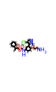 Cc1c(OC(=O)Nc2ccc(OCCN)c(-c3c(Cl)cnn3C)c2)oc2ccccc12